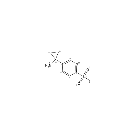 CS(=O)(=O)c1ccc(C2(N)CC2)cn1